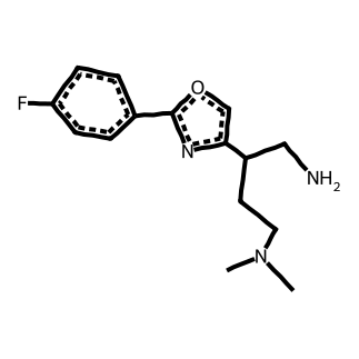 CN(C)CCC(CN)c1coc(-c2ccc(F)cc2)n1